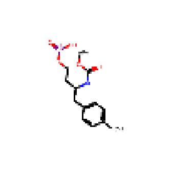 CCCCCCCCc1ccc(CC(CCO[PH](=O)O)NC(=O)OCCCC)cc1